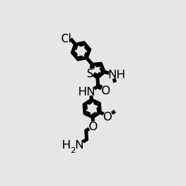 CNc1cc(-c2ccc(Cl)cc2)sc1C(=O)Nc1ccc(OCCN)c(OC)c1